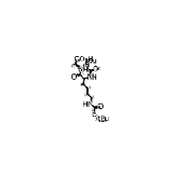 CC(C)(C)OC(=O)NCCCCC(NC(=O)OC(C)(C)C)C(=O)NCC(=O)O